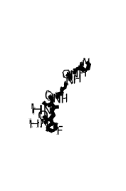 Cc1[nH]c(C=C2C(=O)Nc3ccc(F)cc32)c(C)c1C(=O)NCCCCCNC(=O)NCc1cccnc1